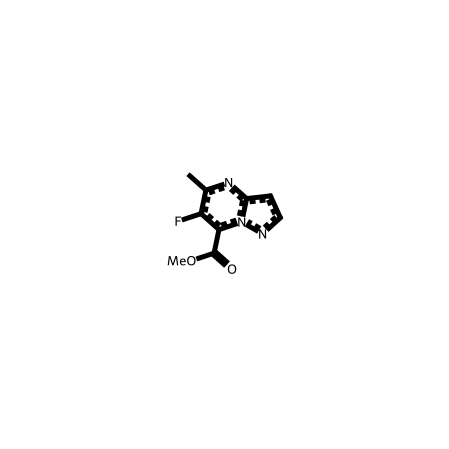 COC(=O)c1c(F)c(C)nc2ccnn12